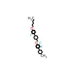 CCCCCCOc1ccc(C2CCC(COc3ccc(C4CCC(C)CC4)c(F)c3F)CC2)c(F)c1